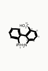 CC(C)c1ccccc1-c1c(N)cccc1C(=O)O